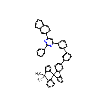 CC1(C)c2ccccc2C2(c3ccccc3-c3cc(-c4cccc(-c5cccc(-c6cc(-c7ccc8ccccc8c7)nc(-c7ccccc7)n6)c5)c4)ccc32)c2ccccc21